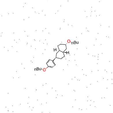 CCCCOc1ccc([C@@H]2CC[C@H]3C[C@@H](OCCCC)CC[C@@H]3C2)cc1